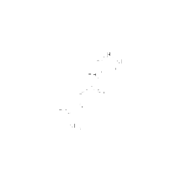 NC(=O)N=NC(N)=O.c1c[nH]nn1